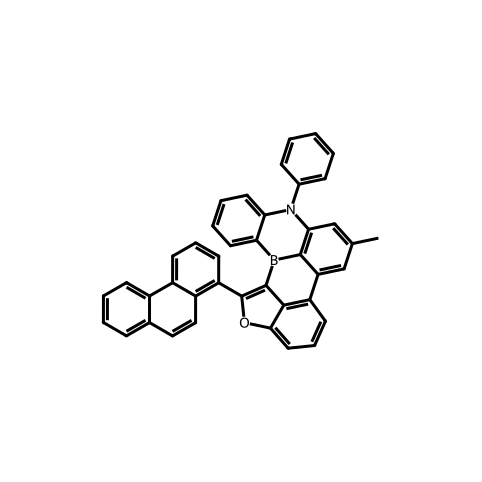 Cc1cc2c3c(c1)N(c1ccccc1)c1ccccc1B3c1c(-c3cccc4c3ccc3ccccc34)oc3cccc-2c13